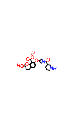 O=C(O)c1c(OC2CN(C(=O)C3CCCNC3)C2)ccc2c1OB(O)CC2